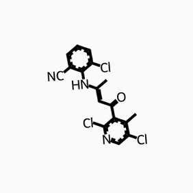 C/C(=C\C(=O)c1c(Cl)ncc(Cl)c1C)Nc1c(Cl)cccc1C#N